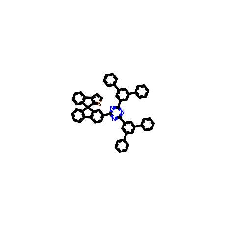 c1ccc(-c2cc(-c3ccccc3)cc(-c3nc(-c4cc(-c5ccccc5)cc(-c5ccccc5)c4)nc(-c4ccc5c(c4)C4(c6ccccc6-5)c5ccccc5-c5ccsc54)n3)c2)cc1